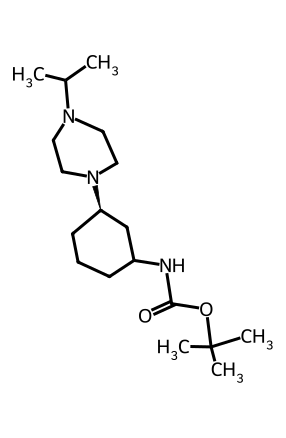 CC(C)N1CCN([C@@H]2CCCC(NC(=O)OC(C)(C)C)C2)CC1